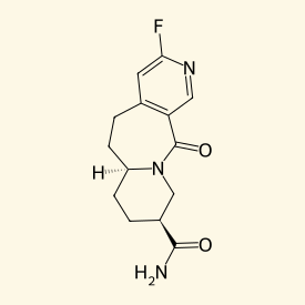 NC(=O)[C@H]1CC[C@H]2CCc3cc(F)ncc3C(=O)N2C1